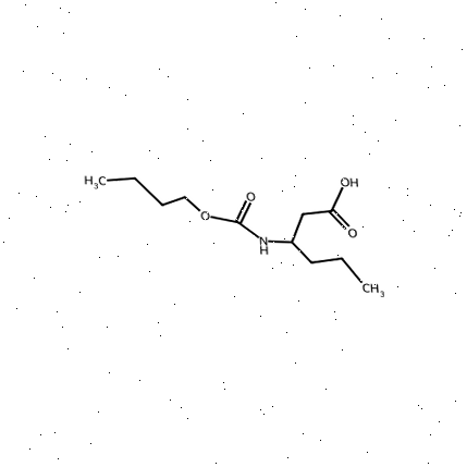 CCCCOC(=O)NC(CCC)CC(=O)O